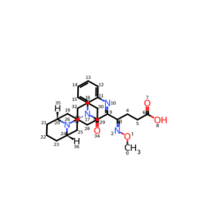 CO/N=C(\CCC(=O)O)c1nc2ccccc2n([C@H]2C[C@H]3CCC[C@@H](C2)N3C2CCCCC2)c1=O